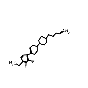 C=CCCCC1CCC(C2CC=C(c3ccc(CC)c(F)c3F)CC2)CC1